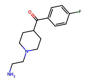 NCCN1CCC(C(=O)c2ccc(F)cc2)CC1